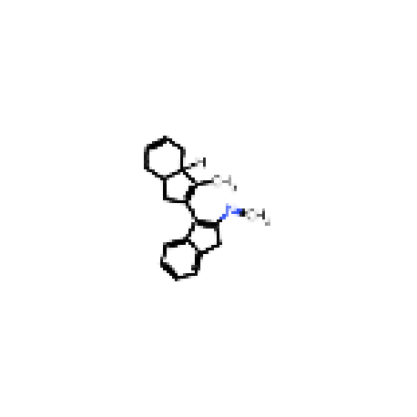 C=NC1=C(C2=C(C)[C@H]3CC=CCC3C2)c2ccccc2C1